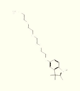 COCCOCCOCCOCCOc1ccc2c(c1)C(C)(C)C(C)=[N+]2C